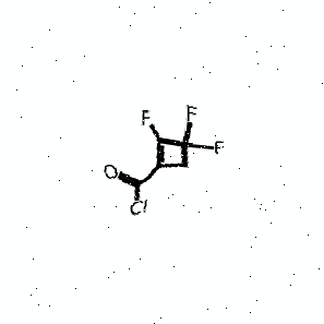 O=C(Cl)C1=C(F)C(F)(F)C1